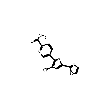 NC(=O)c1ccc(-c2sc(-c3ncco3)cc2Cl)cn1